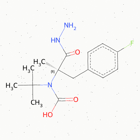 CC(C)(C)N(C(=O)O)[C@](C)(Cc1ccc(F)cc1)C(=O)NN